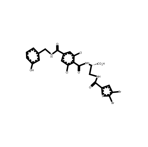 O=C(NCc1cccc(O)c1)c1cc(Cl)c(C(=O)N[C@@H](CNC(=O)c2cc(Br)c(Br)s2)C(=O)O)c(Cl)c1